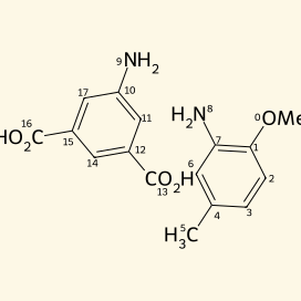 COc1ccc(C)cc1N.Nc1cc(C(=O)O)cc(C(=O)O)c1